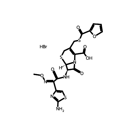 Br.CO/N=C(\C(=O)N[C@@H]1C(=O)N2C(C(=O)O)=C(CSC(=O)c3ccco3)CS[C@H]12)c1csc(N)n1